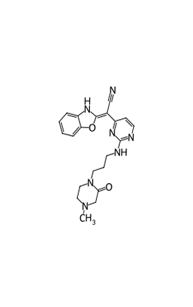 CN1CCN(CCCNc2nccc(C(C#N)=C3Nc4ccccc4O3)n2)C(=O)C1